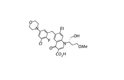 CCc1cc2c(cc1Cc1cc(N3CCOCC3)cc(Cl)c1F)c(=O)c(C(=O)O)cn2[C@H](CO)CCOC